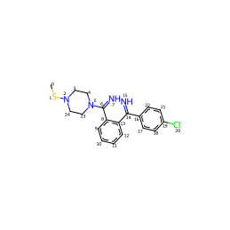 CSN1CCN(C(=N)c2ccccc2C(=N)c2ccc(Cl)cc2)CC1